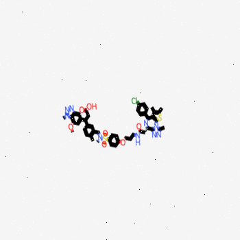 COc1cc(C(CC(=O)O)c2ccc(C)c(CN(C)S(=O)(=O)c3ccc(OCCCNC(=O)C[C@@H]4N=C(c5ccc(Cl)cc5)c5c(sc(C)c5C)-n5c(C)nnc54)cc3)c2)cc2nnn(C)c12